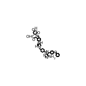 Nc1ncnc2c1c(-c1ccc(Oc3ccccc3)cc1)nn2C1CCC(CN2C[C@H]3C[C@@H]2CN3c2ccc3c(c2)C(C(=O)C=O)N(C2CCC(=O)NC2=O)C3)CC1